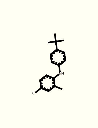 Cc1cc(Cl)ccc1Nc1ccc(C(C)(C)C)cc1